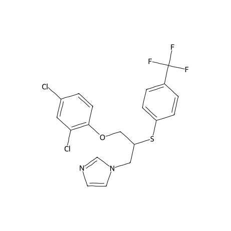 FC(F)(F)c1ccc(SC(COc2ccc(Cl)cc2Cl)Cn2ccnc2)cc1